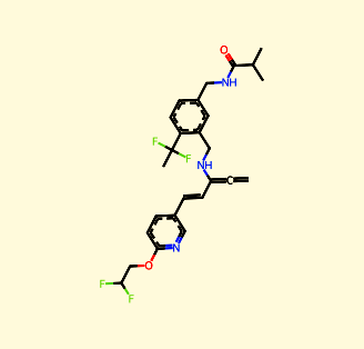 C=C=C(/C=C/c1ccc(OCC(F)F)nc1)NCc1cc(CNC(=O)C(C)C)ccc1C(C)(F)F